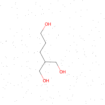 OCCC[C](CO)CO